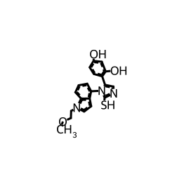 COCCn1ccc2c(-n3c(-c4ccc(O)cc4O)cnc3S)cccc21